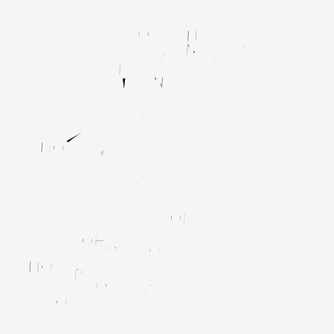 [2H][C@]1(n2cc(C#CC)c(=O)[nH]c2=O)C[C@H](O)[C@@H](COP(=O)(O)OP(=O)(O)OP(=O)(O)O)O1